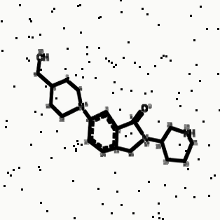 O=C1c2cc(N3CCC(CO)CC3)ccc2CN1C1CCCNC1